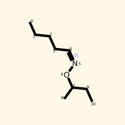 CCCC/[C]=N\OC(C)CC